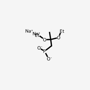 CCOC(C)(CP([O-])[O-])OCC.[Na+].[Na+]